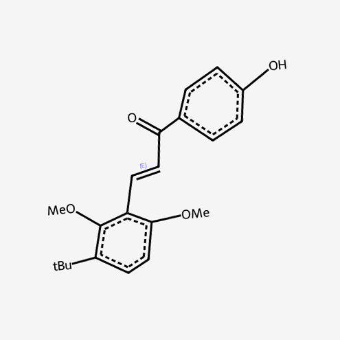 COc1ccc(C(C)(C)C)c(OC)c1/C=C/C(=O)c1ccc(O)cc1